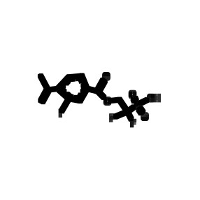 C=C(C)c1ccc(C(=O)OCC(F)(F)S(=O)(=O)O)cc1I